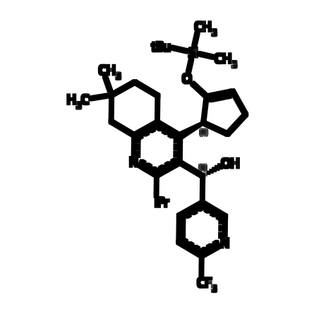 CC(C)c1nc2c(c([C@@H]3CCC=C3O[Si](C)(C)C(C)(C)C)c1[C@H](O)c1ccc(C(F)(F)F)nc1)CCC(C)(C)C2